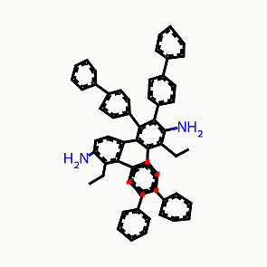 CCc1c(N)ccc(-c2c(-c3ccc(-c4ccccc4)cc3)c(CC)c(N)c(-c3ccc(-c4ccccc4)cc3)c2-c2ccc(-c3ccccc3)cc2)c1-c1ccc(-c2ccccc2)cc1